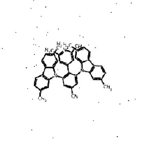 Cc1ccc2c3ccc(C)cc3n(-c3cc(C#N)cc(-n4c5cc(C)ccc5c5ccc(C)cc54)c3-c3cc(C)nc(C)c3)c2c1